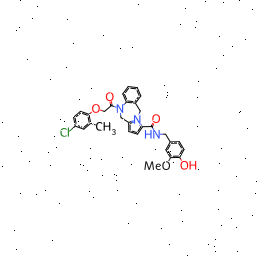 COc1cc(CNC(=O)c2ccc3n2Cc2ccccc2N(C(=O)COc2ccc(Cl)cc2C)C3)ccc1O